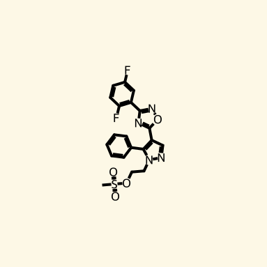 CS(=O)(=O)OCCn1ncc(-c2nc(-c3cc(F)ccc3F)no2)c1-c1ccccc1